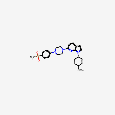 CN[C@H]1CC[C@H](n2ccc3ccc(N4CCN(c5ccc(S(C)(=O)=O)cc5)CC4)nc32)CC1